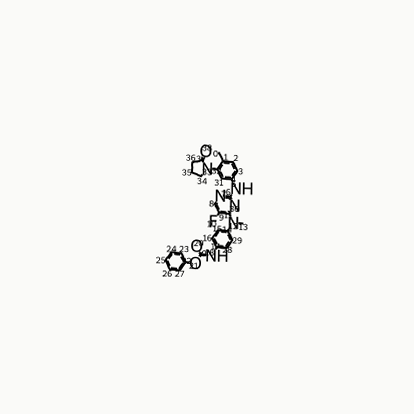 Cc1ccc(Nc2ncc(F)c(N(C)c3ccc(NC(=O)Oc4ccccc4)cc3)n2)cc1N1CCCC1=O